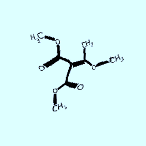 COC(=O)C(C(=O)OC)=C(C)OC